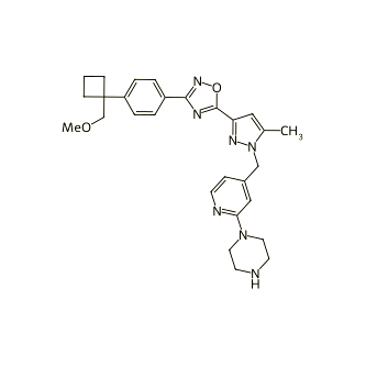 COCC1(c2ccc(-c3noc(-c4cc(C)n(Cc5ccnc(N6CCNCC6)c5)n4)n3)cc2)CCC1